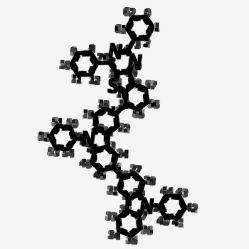 c1ccc(-c2nc(-c3ccccc3)c3sc4c(-c5ccc6c(c5)c5cc(-c7ccc8c(c7)c7ccccc7n8-c7ccccc7)ccc5n6-c5ccccc5)cccc4c3n2)cc1